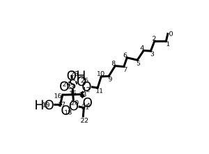 CCCCCCCCCCCCOC(=O)C(CC(=O)O)(OCC)S(=O)(=O)O